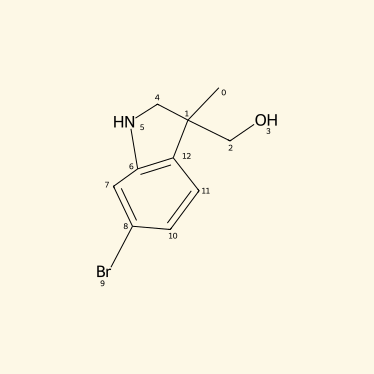 CC1(CO)CNc2cc(Br)ccc21